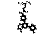 CN(C)CCC(=O)Nc1ccc(-c2cc(-c3cc(Cl)ccc3F)nc3c2OCCN3)cn1